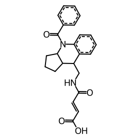 O=C(O)C=CC(=O)NCC1c2ccccc2N(C(=O)c2ccccc2)C2CCCC12